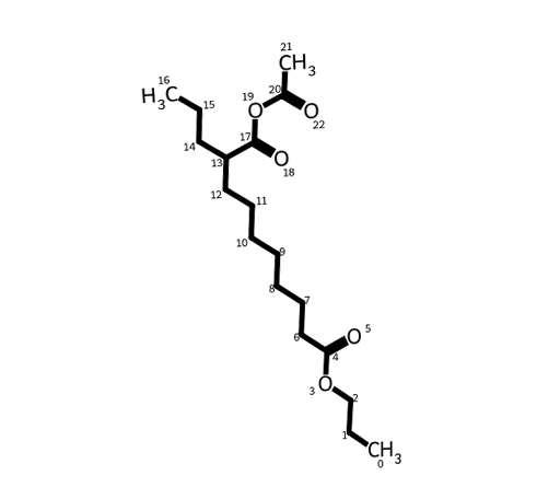 CCCOC(=O)CCCCCCCC(CCC)C(=O)OC(C)=O